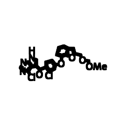 COCOCc1cc2cccc(Oc3ccc(C(=O)c4c[nH]c5ncnc(Cl)c45)c(Cl)c3)c2o1